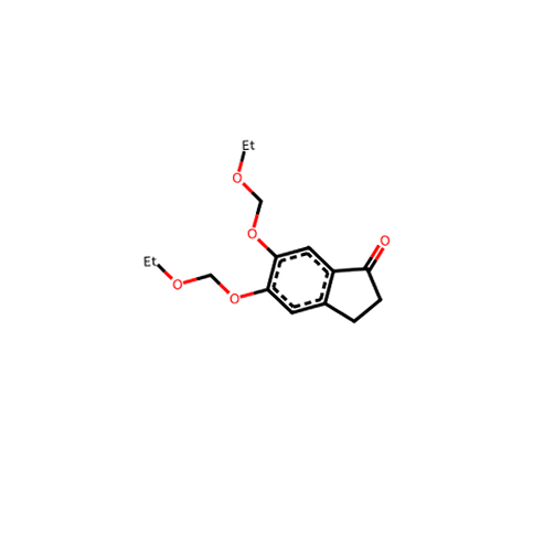 CCOCOc1cc2c(cc1OCOCC)C(=O)CC2